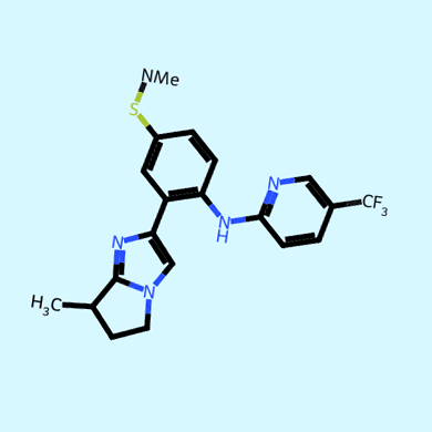 CNSc1ccc(Nc2ccc(C(F)(F)F)cn2)c(-c2cn3c(n2)C(C)CC3)c1